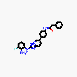 Nc1c(F)cccc1Nc1nc2ccc(-c3ccc(NC(=O)Cc4ccccc4)cc3)cn2n1